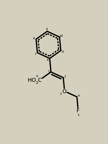 O=C(O)C(=COCF)c1ccccc1